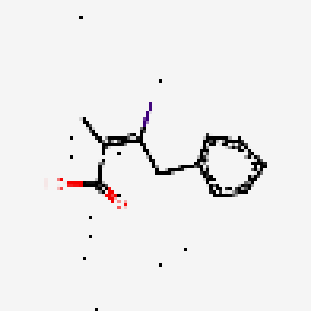 CC(C(=O)O)=C(I)Cc1ccccc1